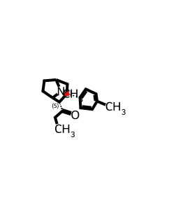 CCC(=O)[C@@H]1C2CCC(C[C@@H]1c1ccc(C)cc1)N2C